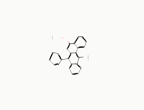 COc1cc2c(-c3ccccc3)c3ccccc3c(C)c2c2ccccc12